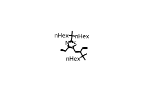 C=C/C(=C\c1sc(C(C)(CCCCCC)CCCCCC)nc1C=C)C(C)(C)CCCCCC